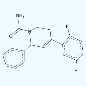 NC(=O)N1CCC(c2cc(F)ccc2F)=CC1c1ccccc1